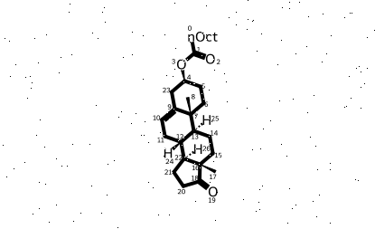 CCCCCCCCC(=O)O[C@H]1CC[C@@]2(C)C(=CC[C@@H]3[C@@H]2CC[C@]2(C)C(=O)CC[C@@H]32)C1